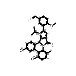 COc1ccc(C=O)cc1-c1nc2c(n1C(C)C)C1c3ccc(Cl)cc3-c3c(Cl)ccc(C)c3N1C2=O